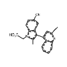 Cc1cc(-c2c(C)n(CC(=O)O)c3ccc(C#N)cc23)c2ccccc2n1